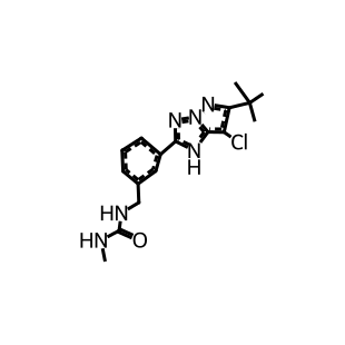 CNC(=O)NCc1cccc(-c2nn3nc(C(C)(C)C)c(Cl)c3[nH]2)c1